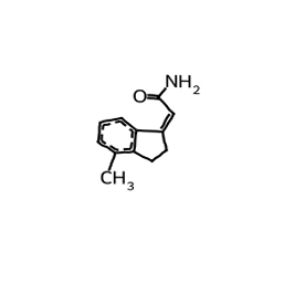 Cc1cccc2c1CC/C2=C/C(N)=O